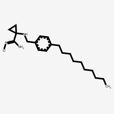 CCCCCCCCCCc1ccc(CNC2(/C(N)=N/Cl)CC2)cc1